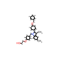 Cc1ccc2c(c1)c(C)c(-c1ccc(OCc3ccccc3)cc1)n2Cc1ccc(OCCO)cc1